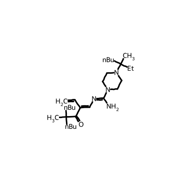 C=C/C(=C\N=C(/N)N1CCN(C(C)(CC)CCCC)CC1)C(=O)C(C)(CCCC)CCCC